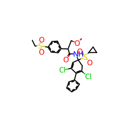 CCS(=O)(=O)c1ccc(C(COC)C(=O)NC2(S(=O)(=O)C3CC3)C=C(Cl)C(c3ccccc3)=C(Cl)C2)cc1